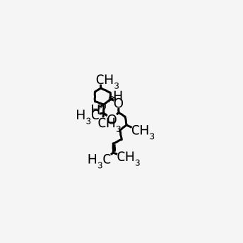 CC(C)=CCCC(C)CC1O[C@@H]2CC(C)CC[C@H]2C(C)(C)O1